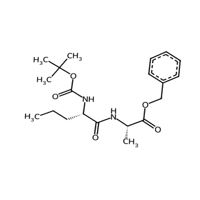 CCC[C@H](NC(=O)OC(C)(C)C)C(=O)N[C@@H](C)C(=O)OCc1ccccc1